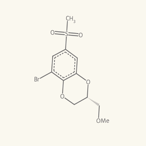 COC[C@@H]1COc2c(Br)cc(S(C)(=O)=O)cc2O1